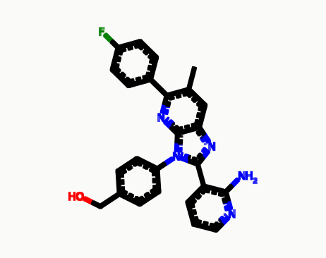 Cc1cc2nc(-c3cccnc3N)n(-c3ccc(CO)cc3)c2nc1-c1ccc(F)cc1